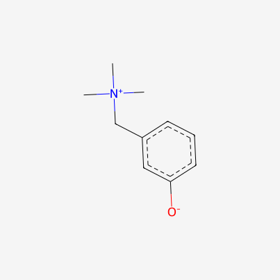 C[N+](C)(C)Cc1cccc([O-])c1